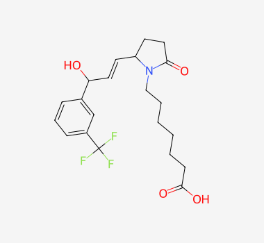 O=C(O)CCCCCCN1C(=O)CCC1C=CC(O)c1cccc(C(F)(F)F)c1